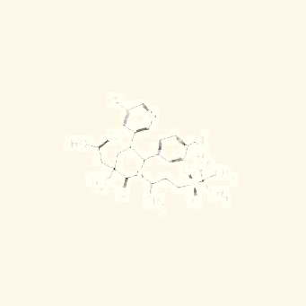 CC(CCS(=O)(=O)C(C)(C)C)N1C(=O)C(C)(CC(=O)O)CC(c2cncc(Cl)c2)C1c1ccc(Cl)cc1